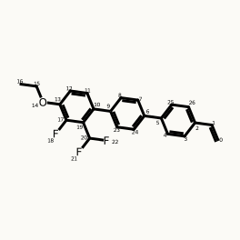 C=Cc1ccc(-c2ccc(-c3ccc(OCC)c(F)c3C(F)F)cc2)cc1